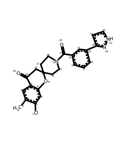 Cc1cc2c(cc1Cl)OC1(CCN(C(=O)c3cccc(-c4cc[nH]n4)c3)CC1)CC2=O